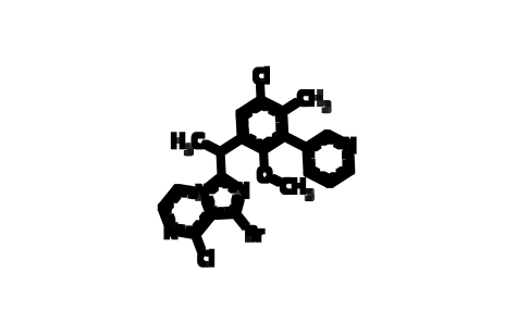 COc1c(C(C)c2nc(Br)c3c(Cl)nccn23)cc(Cl)c(C)c1-c1cccnc1